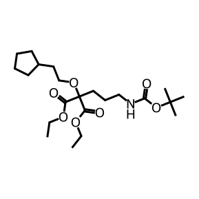 CCOC(=O)C(CCCNC(=O)OC(C)(C)C)(OCCC1CCCC1)C(=O)OCC